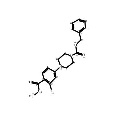 CC(C)(C)OC(=O)c1ccc(N2CCN(C(=O)OCc3ccccc3)CC2)cc1I